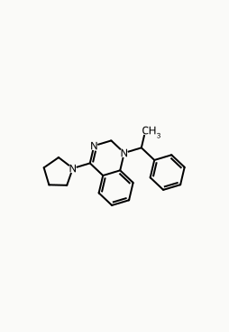 CC(c1ccccc1)N1CN=C(N2CCCC2)c2ccccc21